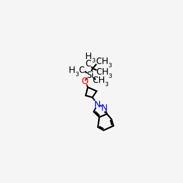 CC(C)(C)[Si](C)(C)OC1CC(n2cc3ccccc3n2)C1